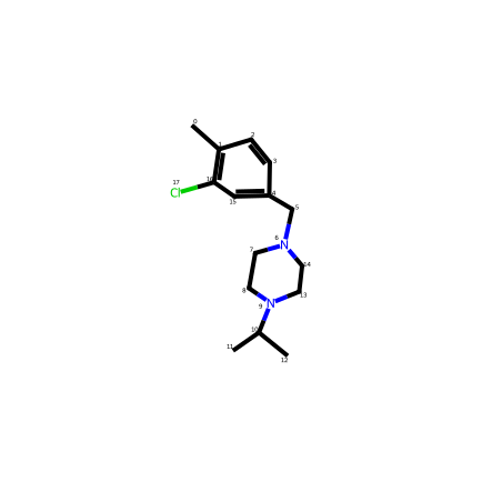 Cc1ccc(CN2CCN(C(C)C)CC2)cc1Cl